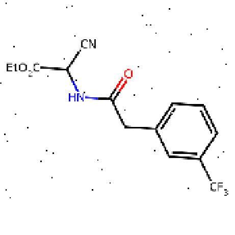 CCOC(=O)C(C#N)NC(=O)Cc1cccc(C(F)(F)F)c1